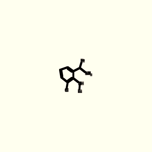 CCNc1c(Cl)cccc1C([SiH3])CC